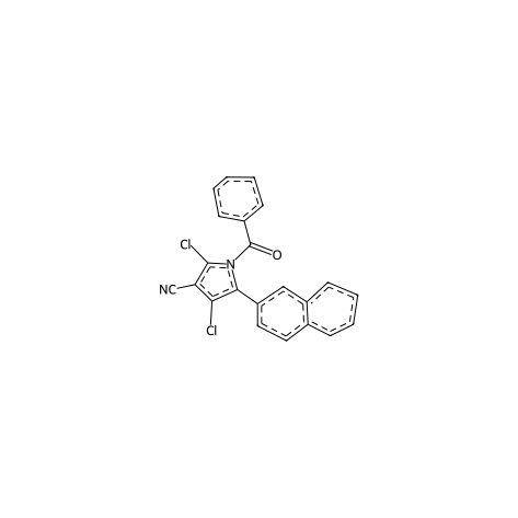 N#Cc1c(Cl)c(-c2ccc3ccccc3c2)n(C(=O)c2ccccc2)c1Cl